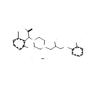 CC(=O)O.COc1ccccc1OCC(O)CN1CCN(C(C(N)=O)c2c(C)cccc2C)CC1